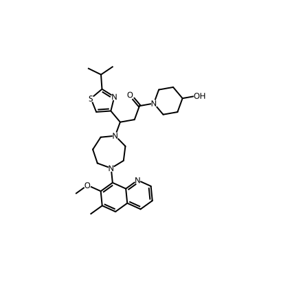 COc1c(C)cc2cccnc2c1N1CCCN(C(CC(=O)N2CCC(O)CC2)c2csc(C(C)C)n2)CC1